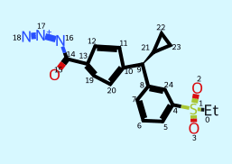 CCS(=O)(=O)c1cccc([C@@H](c2ccc(C(=O)N=[N+]=[N-])cc2)C2CC2)c1